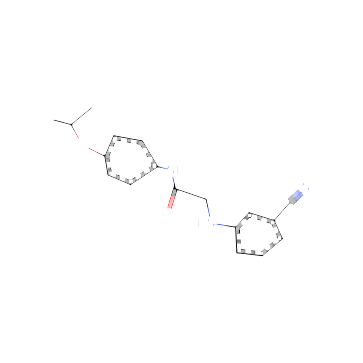 CC(C)Oc1ccc(NC(=O)CNc2cccc(C#N)c2)cc1